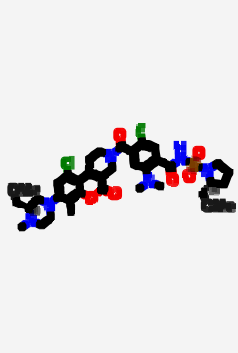 COC[C@H]1CN(c2cc(Cl)c3c4c(c(=O)oc3c2C)CN(C(=O)c2cc(N(C)C)c(C(=O)NS(=O)(=O)N3CCC[C@@H]3COC)cc2F)CC4)CCN1C